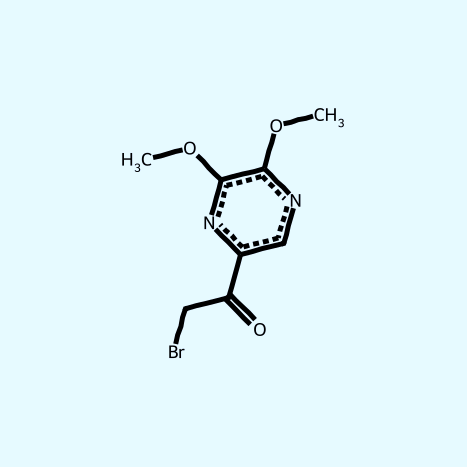 COc1ncc(C(=O)CBr)nc1OC